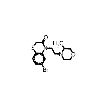 CC1COCCN1CCN1C(=O)CSc2ccc(Br)cc21